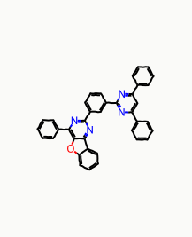 c1ccc(-c2cc(-c3ccccc3)nc(-c3cccc(-c4nc(-c5ccccc5)c5oc6ccccc6c5n4)c3)n2)cc1